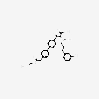 CCOC(=O)Cc1ccc(-c2ccc(-c3onc(C)c3N(C)CCCc3cccc(Cl)c3)cc2)cc1